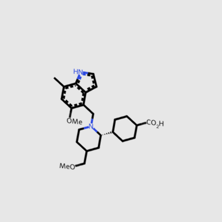 COCC1CCN(Cc2c(OC)cc(C)c3[nH]ccc23)[C@H](C2CCC(C(=O)O)CC2)C1